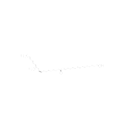 CCCCCCCCCCCCCCCOC(=O)CCCCCCC/C=C\C[C@H](O)CCCCCC